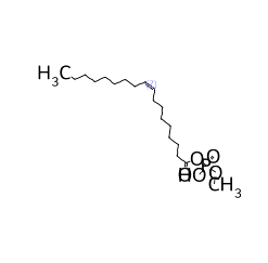 CCCCCCCC/C=C\CCCCCCCC(=O)OP(=O)(O)OC